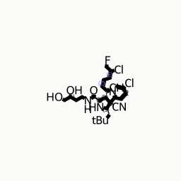 C=C(/C=C\C=C(\Cl)CF)[C@H]1[C@H](C(=O)NCC[C@H](O)CO)N[C@@H](CC(C)(C)C)[C@]1(C#N)c1ccc(Cl)cn1